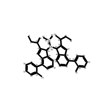 CCC(C)C1=Cc2c(-c3ccccc3C)cccc2[CH]1[Zr]([CH]1C(C(C)CC)=Cc2c(-c3ccccc3C)cccc21)[SiH](C)C